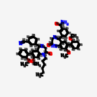 CCCCCCN1C(=O)CN=C(c2cccc(C#N)c2)c2cc(-c3ccccc3OC)c(OC)cc21.COc1ccccc1-c1cc2c(cc1OC)NC(=O)CN=C2c1cccc(C(N)=O)c1